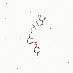 CC(C)(CCCc1cccc(Oc2ccc(Cl)cc2)c1)c1ccc(F)c(Cl)c1